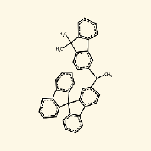 CN(c1ccc2c(c1)-c1ccccc1C2(C)C)c1ccc2c(c1)C1(c3ccccc3-c3ccccc31)c1ccccc1-2